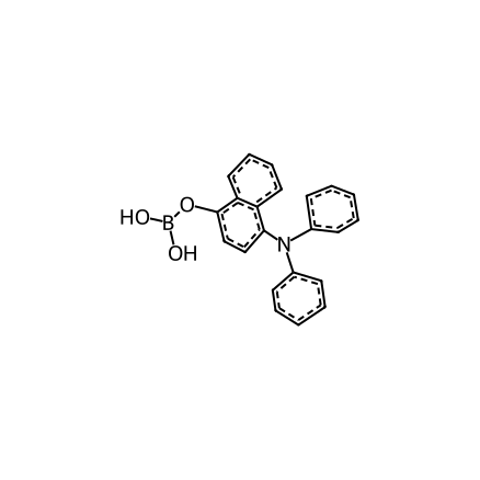 OB(O)Oc1ccc(N(c2ccccc2)c2ccccc2)c2ccccc12